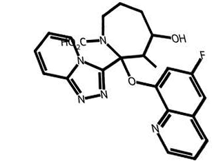 CC1C(O)CCCN(C(=O)O)C1(Oc1cc(F)cc2cccnc12)c1nnc2ccccn12